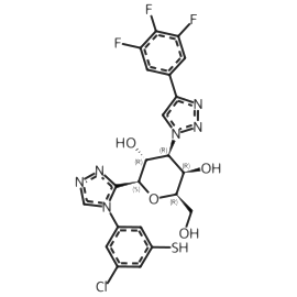 OC[C@H]1O[C@@H](c2nncn2-c2cc(S)cc(Cl)c2)[C@H](O)[C@@H](n2cc(-c3cc(F)c(F)c(F)c3)nn2)[C@H]1O